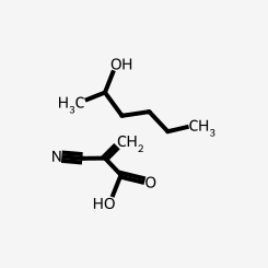 C=C(C#N)C(=O)O.CCCCC(C)O